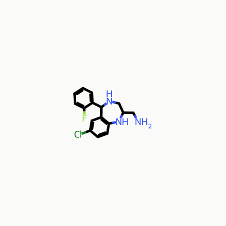 NCC1CNC(c2ccccc2F)c2cc(Cl)ccc2N1